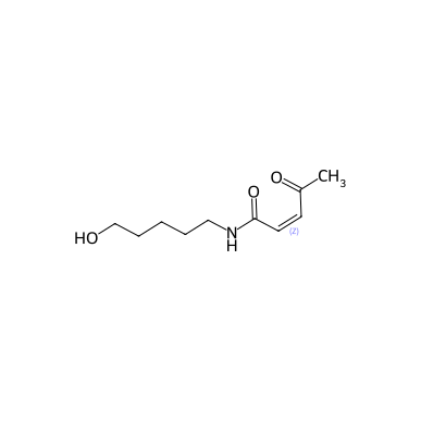 CC(=O)/C=C\C(=O)NCCCCCO